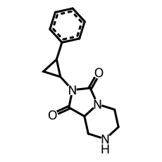 O=C1C2CNCCN2C(=O)N1C1CC1c1ccccc1